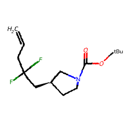 C=CCC(F)(F)C[C@@H]1CCN(C(=O)OC(C)(C)C)C1